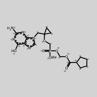 [CH2]OP(=O)(COC1(Cn2cnc3c(O)nc(N)nc32)CC1)OCOC(=O)C1CCCC1